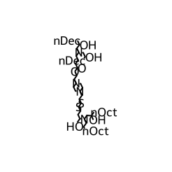 CCCCCCCCCCC(O)CN(CCCC(=O)OCCN1CCN(CCSSCCC(C)N(CC(O)CCCCCCCC)CC(O)CCCCCCCC)CC1)CC(O)CCCCCCCCCC